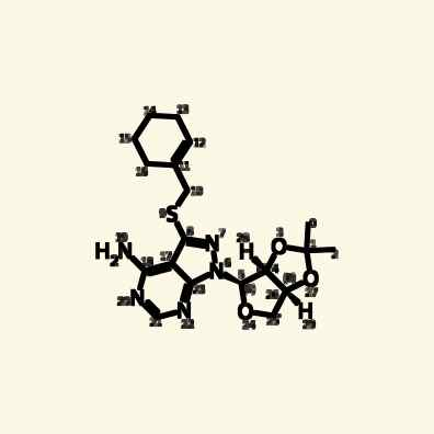 CC1(C)O[C@H]2[C@H](n3nc(SCC4=CCCCC4)c4c(N)ncnc43)O[CH][C@H]2O1